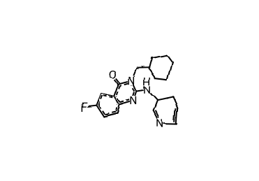 O=c1c2cc(F)ccc2nc(NC2C=NC=CC2)n1CC1CCCCC1